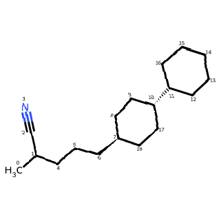 CC(C#N)CCC[C@H]1CC[C@H](C2CCCCC2)CC1